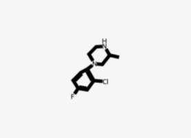 CC1CN(c2ccc(F)cc2Cl)CCN1